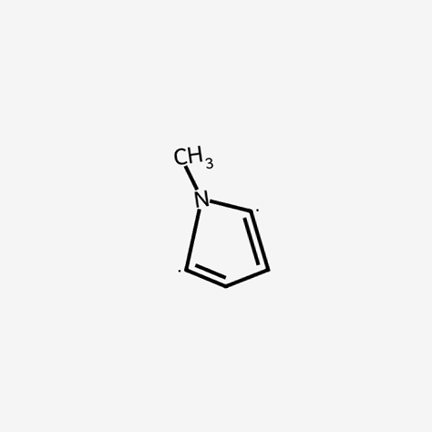 Cn1[c]cc[c]1